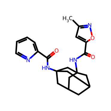 Cc1cc(C(=O)NC23CC4CC(CC(NC(=O)c5ccccn5)(C4)C2)C3)on1